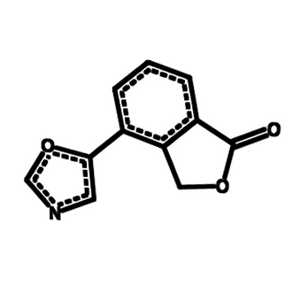 O=C1OCc2c1cccc2-c1cnco1